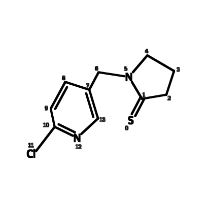 S=C1CCCN1Cc1ccc(Cl)nc1